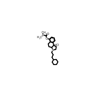 CN(C)C(=O)Oc1cccc2c1CCC1C2CCN1CCCC1CCCCC1.Cl